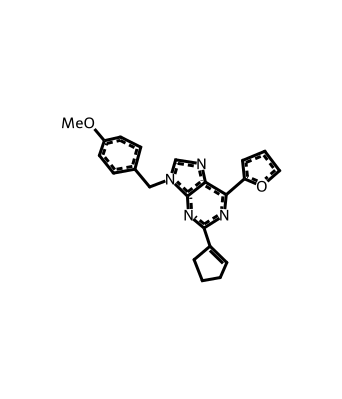 COc1ccc(Cn2cnc3c(-c4ccco4)nc(C4=CCCC4)nc32)cc1